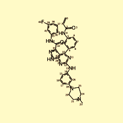 C=CC(=O)Nc1cccc(-c2nc(Nc3cccc(N4CCN(C)CC4)c3)nc3[nH]nc(C(=O)Nc4cccc(F)c4)c23)c1